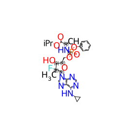 CC(C)OC(=O)[C@@H](C)N[P@@](=O)(OC[C@H]1O[C@@H](n2cnc3c(NC4CC4)ncnc32)[C@](C)(F)[C@@H]1O)Oc1ccccc1